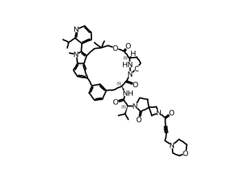 CC(C)c1ncccc1-c1c2c3cc(ccc3n1C)-c1cccc(c1)C[C@H](NC(=O)[C@H](C(C)C)N1CCC3(CN(C(=O)C#CCN4CCOCC4)C3)C1=O)C(=O)N1CCC[C@H](N1)C(=O)OCC(C)(C)C2